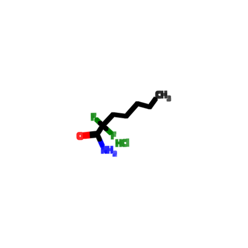 CCCCCC(F)(F)C(N)=O.Cl